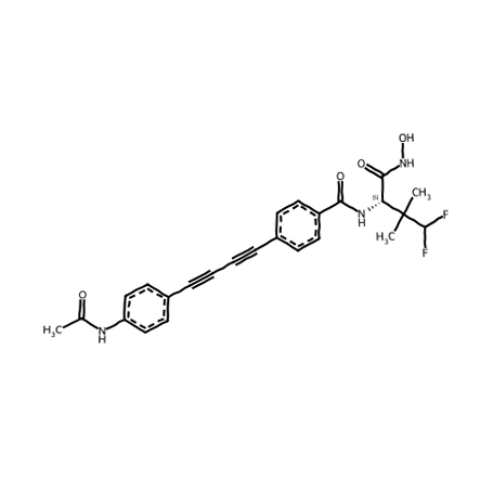 CC(=O)Nc1ccc(C#CC#Cc2ccc(C(=O)N[C@H](C(=O)NO)C(C)(C)C(F)F)cc2)cc1